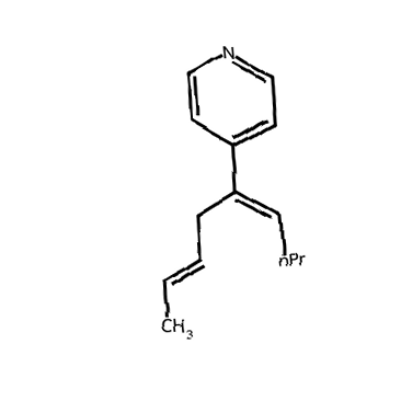 CC=CCC(=CCCC)c1ccncc1